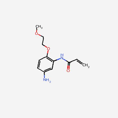 C=CC(=O)Nc1cc(N)ccc1OCCOC